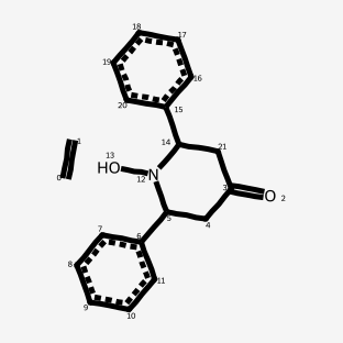 C=C.O=C1CC(c2ccccc2)N(O)C(c2ccccc2)C1